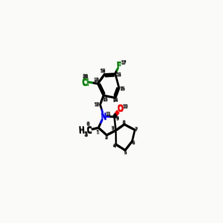 CC1CC2(CCCCC2)C(=O)N1Cc1ccc(F)cc1Cl